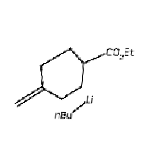 C=C1CCC(C(=O)OCC)CC1.[Li][CH2]CCC